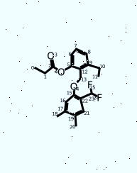 CCC(=O)Oc1cccc(CC)c1COc1cc(C)c(C)cc1C(F)F